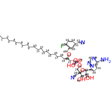 CCCCCCCCCCCCCCCCCCCC[C@H](COP(=O)(O)OC[C@@]1(C#N)O[C@@H](c2ccc3c(N)ncnn23)[C@H](O)[C@@H]1O)OCc1cc(C#N)ccc1F